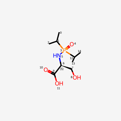 CC(C)P(=O)(N[C@@H](CO)C(=O)O)C(C)C